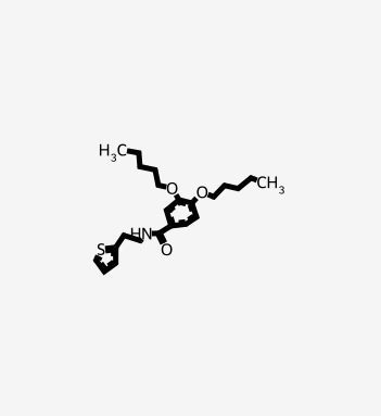 CCCCCOc1ccc(C(=O)NCCc2cccs2)cc1OCCCCC